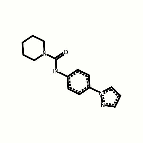 O=C(Nc1ccc(-n2cccn2)cc1)N1CCCCC1